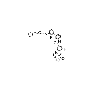 CC(=Cc1c(F)cc(C(=O)Nc2nc(-c3cccc(CCCOCCC4CCCC4)c3F)cs2)cc1F)C(=O)O